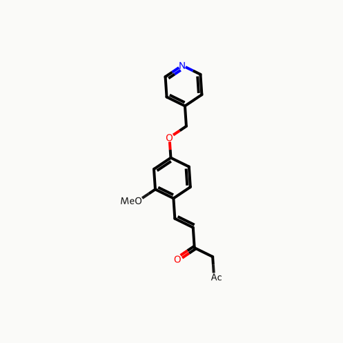 COc1cc(OCc2ccncc2)ccc1C=CC(=O)CC(C)=O